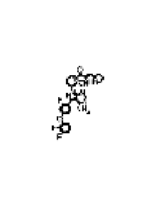 N#C/C(=C\C1CCCN1)C(=O)N1CCC[C@@H](n2nc(-c3ccc(Oc4cccc(F)c4F)cc3F)c3c(N)ncnc32)C1